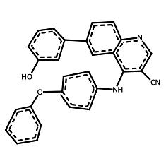 N#Cc1cnc2ccc(-c3cccc(O)c3)cc2c1Nc1ccc(Oc2ccccc2)cc1